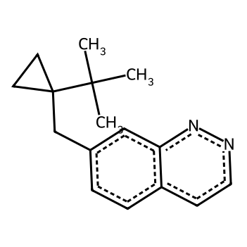 CC(C)(C)C1(Cc2ccc3ccnnc3c2)CC1